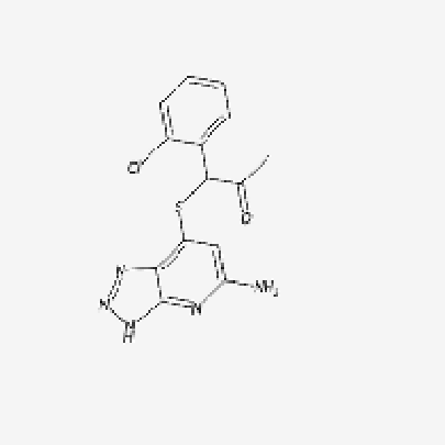 CC(=O)C(Sc1cc(N)nc2[nH]nnc12)c1ccccc1Cl